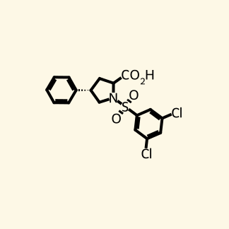 O=C(O)C1C[C@@H](c2ccccc2)CN1S(=O)(=O)c1cc(Cl)cc(Cl)c1